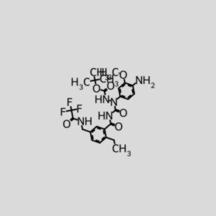 CCc1ccc(CNC(=O)C(F)(F)F)cc1C(=O)NC(=O)N(NC(=O)OC(C)(C)C)c1ccc(N)c(OC)c1